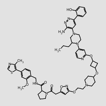 CCCC1CN(c2cc(-c3ccccc3O)nnc2N)CCN1c1ccnc(OC2CC(OC3CCN(CCOc4cc(CC(=O)N5CCCC5C(=O)NCc5ccc(-c6scnc6C)cc5OC)on4)CC3)C2)c1